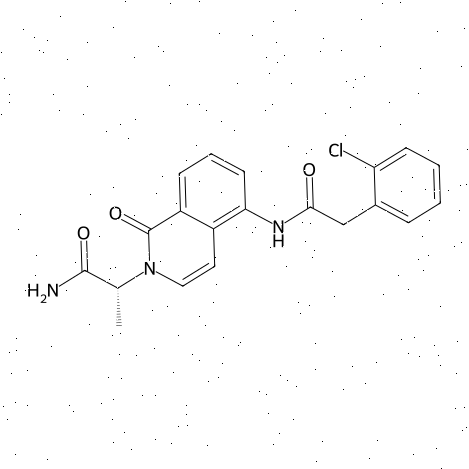 C[C@H](C(N)=O)n1ccc2c(NC(=O)Cc3ccccc3Cl)cccc2c1=O